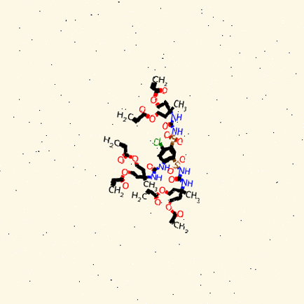 C=CC(=O)OCCC(C)(CCOC(=O)C=C)NC(=O)Nc1cc(Cl)c(S(=O)(=O)NC(=O)NC(C)(CCOC(=O)C=C)CCOC(=O)C=C)cc1S(=O)(=O)NC(=O)NC(C)(CCOC(=O)C=C)CCOC(=O)C=C